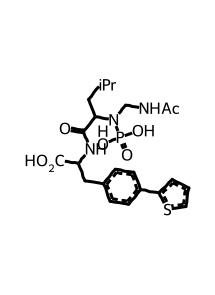 CC(=O)NCN(C(CC(C)C)C(=O)NC(Cc1ccc(-c2cccs2)cc1)C(=O)O)P(=O)(O)O